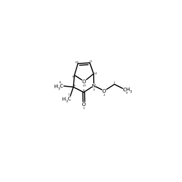 CCON1C(=O)C(C)(C)C2C=CC1O2